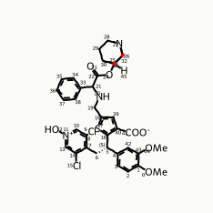 COc1ccc([C@H](Cc2c(Cl)c[n+](O)cc2Cl)c2sc(CNC(C(=O)O[C@H]3CN4CCC3CC4)c3ccccc3)cc2C(=O)[O-])cc1OC